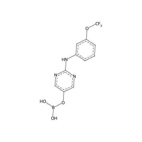 OB(O)Oc1cnc(Nc2cccc(OC(F)(F)F)c2)nc1